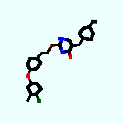 Cc1cc(Oc2ccc(CCSc3nc(=O)c(Cc4ccc(C#N)cc4)c[nH]3)cc2)ccc1Cl